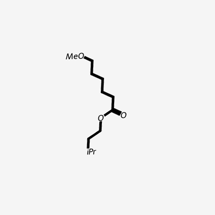 COCCCCCC(=O)OCCC(C)C